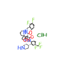 CC12CCCN1N(Cc1cccc(F)c1F)C(=O)C(C(=O)Nc1ccc(C(F)(F)F)cc1C1CCNCC1)=C2O.Cl